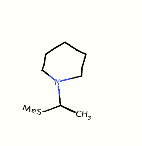 CSC(C)N1CCCCC1